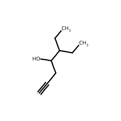 [C]#CCC(O)C(CC)CC